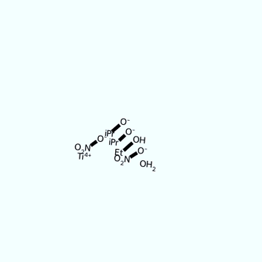 CC(C)[O-].CC(C)[O-].CCO.O.O=[N+]([O-])[O-].O=[N+]([O-])[O-].[Ti+4]